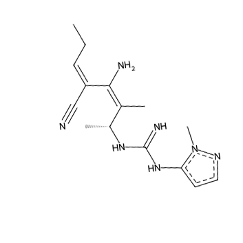 CC/C=C(C#N)\C(N)=C(\C)[C@@H](C)NC(=N)Nc1ccnn1C